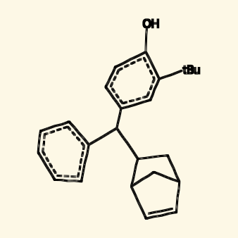 CC(C)(C)c1cc(C(c2ccccc2)C2CC3C=CC2C3)ccc1O